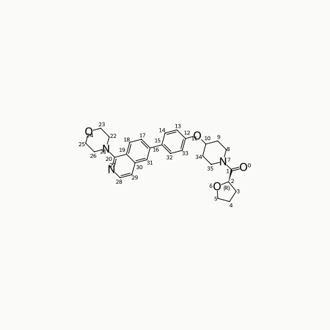 O=C([C@H]1CCCO1)N1CCC(Oc2ccc(-c3ccc4c(N5CCOCC5)nccc4c3)cc2)CC1